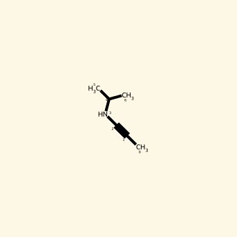 CC#CNC(C)C